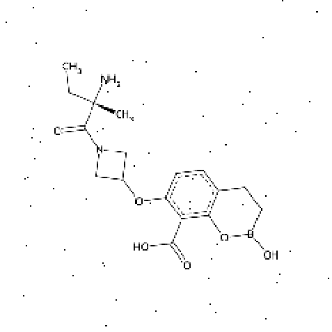 CC[C@](C)(N)C(=O)N1CC(Oc2ccc3c(c2C(=O)O)OB(O)CC3)C1